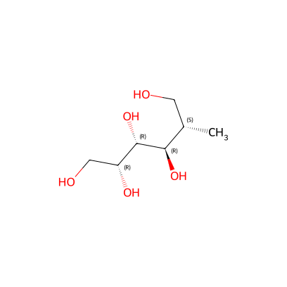 C[C@@H](CO)[C@@H](O)[C@@H](O)[C@H](O)CO